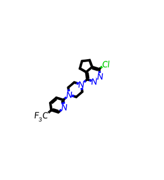 FC(F)(F)c1ccc(N2CCN(c3nnc(Cl)c4c3CCC4)CC2)nc1